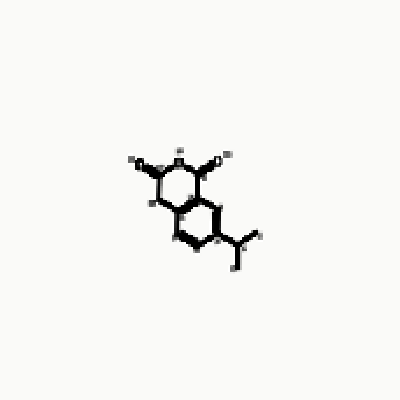 CC(C)c1ccc2c(c1)C(=O)OC(=O)C2